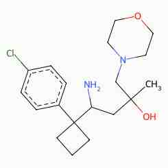 CC(O)(CC(N)C1(c2ccc(Cl)cc2)CCC1)CN1CCOCC1